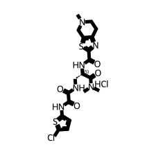 CN1CCc2nc(C(=O)N[C@@H](CNC(=O)C(=O)Nc3ccc(Cl)s3)C(=O)N(C)C)sc2C1.Cl